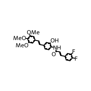 COc1cc(/C=C/c2ccc(NC(=O)/C=C/c3ccc(F)c(F)c3)c(O)c2)cc(OC)c1OC